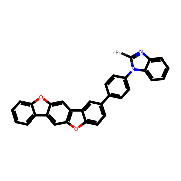 CCCc1nc2ccccc2n1-c1ccc(-c2ccc3oc4cc5c(cc4c3c2)oc2ccccc25)cc1